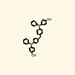 Oc1ccc(N(c2ccccc2)c2ccc(Cc3ccc(N(c4ccccc4)c4ccc(O)cc4)cc3)cc2)cc1